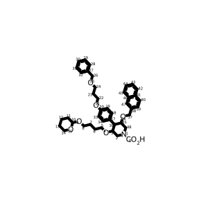 O=C(O)N1CC(OCCCCOC2CCCCO2)C(c2ccc(OCCCOCc3ccccc3)cc2)C(OCc2ccc3ccccc3c2)C1